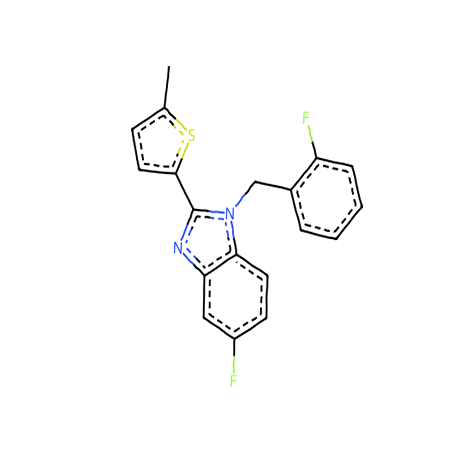 Cc1ccc(-c2nc3cc(F)ccc3n2Cc2ccccc2F)s1